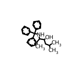 CCC(NC(c1ccccc1)(c1ccccc1)c1ccccc1)C(O)CC(C)C